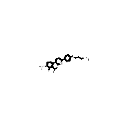 CCCCOc1ccc(C2CCC(c3ccc(C)c(F)c3C(F)F)CO2)cc1